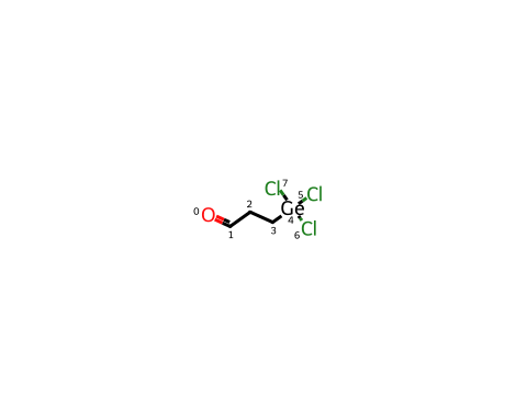 O=CC[CH2][Ge]([Cl])([Cl])[Cl]